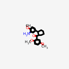 COc1ccc(OC)c(C(=O)C2CCCCC2c2ccc(OC)c(N)c2)c1